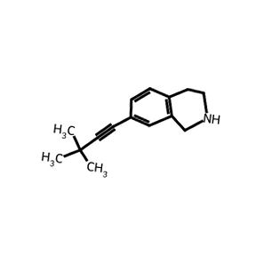 CC(C)(C)C#Cc1ccc2c(c1)CNCC2